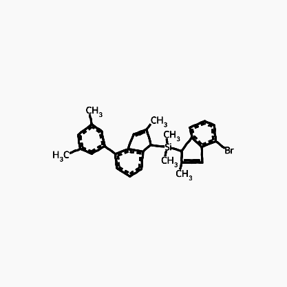 CC1=Cc2c(Br)cccc2C1[Si](C)(C)C1C(C)=Cc2c(-c3cc(C)cc(C)c3)cccc21